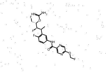 CC(c1cc(NC(=O)c2cnc(OCF)cn2)ccc1F)[C@@H](F)[C@H](CF)OC(=N)N